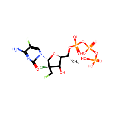 C[C@@H](OP(=O)(O)OP(=O)(O)OP(=O)(O)O)[C@H]1O[C@@H](n2cc(F)c(N)nc2=O)[C@@](Cl)(CF)C1O